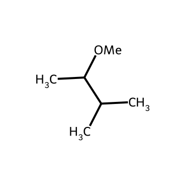 COC(C)C(C)C